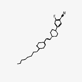 CCCCCCCCC1CCC(C=CC2CCC(c3ccc(C#N)c(F)c3)CC2)CC1